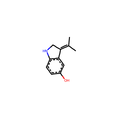 CC(C)=C1CNc2ccc(O)cc21